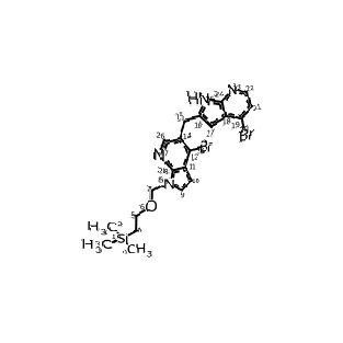 C[Si](C)(C)CCOCn1ccc2c(Br)c(Cc3cc4c(Br)ccnc4[nH]3)cnc21